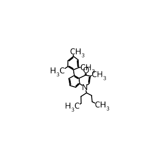 CCCC(CCC)n1cc(C)c(=O)c2c(-c3c(C)cc(C)cc3C)cccc21